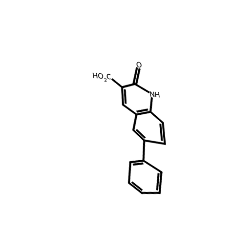 O=C(O)c1cc2cc(-c3ccccc3)ccc2[nH]c1=O